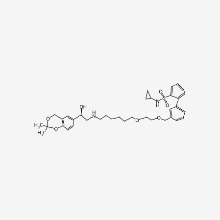 CC1(C)OCc2cc([C@@H](O)CNCCCCCCOCCOCc3cccc(-c4ccccc4S(=O)(=O)NC4CC4)c3)ccc2O1